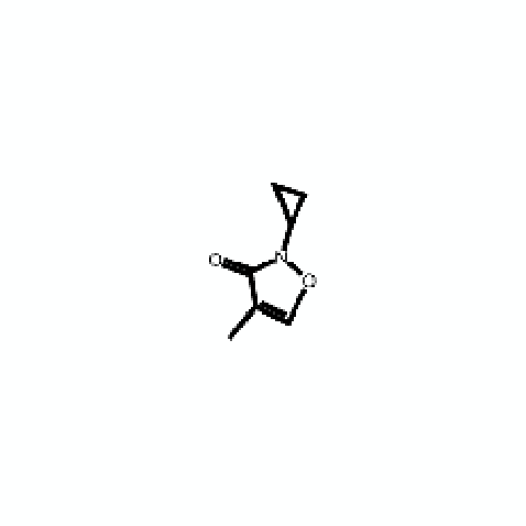 Cc1con(C2CC2)c1=O